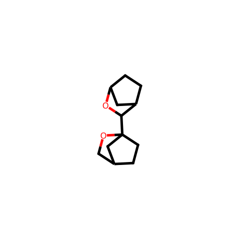 C1CC2(C3OC4CCC3C4)CC1CO2